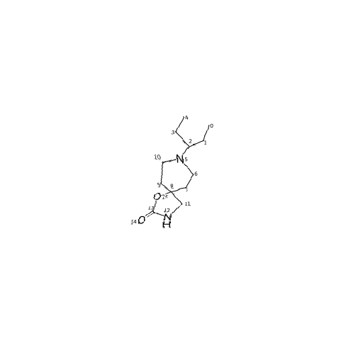 CCC(CC)N1CCC2(CC1)CNC(=O)O2